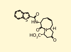 O=C1C[C@@H]2C/C=C\C[C@H](NC(=O)c3cc4ccccc4s3)C(=O)N2[C@H](C(=O)O)C1